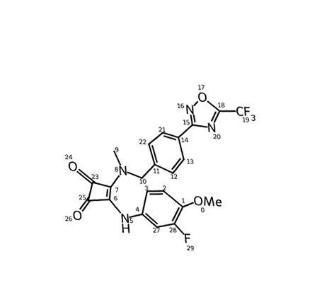 COc1ccc(Nc2c(N(C)Cc3ccc(-c4noc(C(F)(F)F)n4)cc3)c(=O)c2=O)cc1F